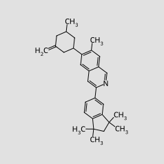 C=C1CC(C)CC(c2cc3cc(-c4ccc5c(c4)C(C)(C)CC5(C)C)ncc3cc2C)C1